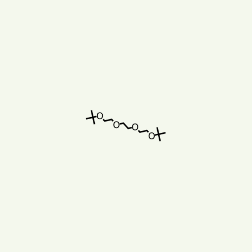 CC(C)(C)OCCOCCOCCOC(C)(C)C